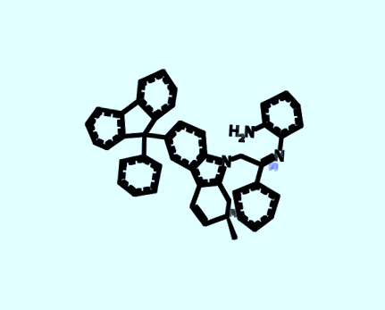 C[C@H]1C=Cc2c(n(C/C(=N\c3ccccc3N)c3ccccc3)c3ccc(C4(c5ccccc5)c5ccccc5-c5ccccc54)cc23)C1